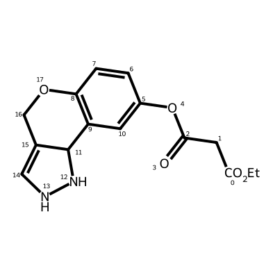 CCOC(=O)CC(=O)Oc1ccc2c(c1)C1NNC=C1CO2